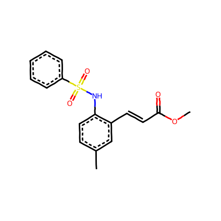 COC(=O)C=Cc1cc(C)ccc1NS(=O)(=O)c1ccccc1